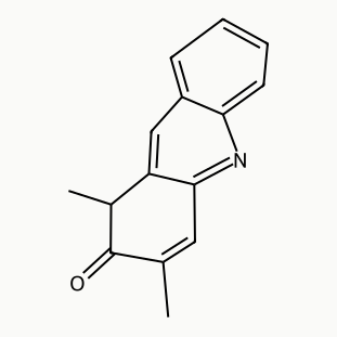 CC1=Cc2nc3ccccc3cc2C(C)C1=O